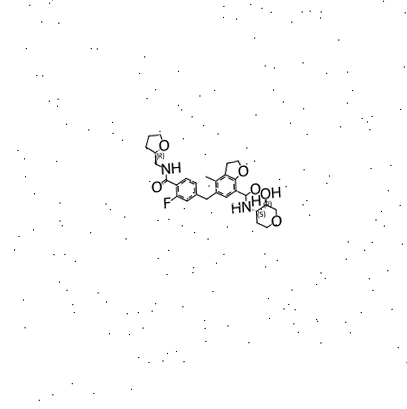 Cc1c(Cc2ccc(C(=O)NC[C@H]3CCCO3)c(F)c2)cc(C(O)N[C@H]2CCOC[C@@H]2O)c2c1CCO2